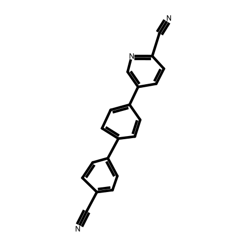 N#Cc1ccc(-c2ccc(-c3ccc(C#N)nc3)cc2)cc1